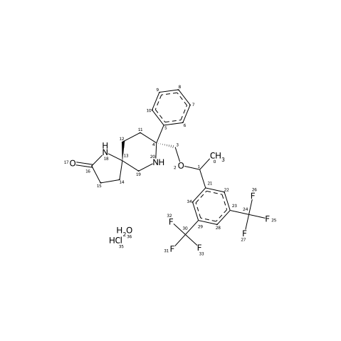 CC(OC[C@@]1(c2ccccc2)CC[C@]2(CCC(=O)N2)CN1)c1cc(C(F)(F)F)cc(C(F)(F)F)c1.Cl.O